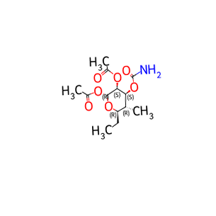 CC[C@H]1O[C@H](OC(C)=O)[C@@H](OC(C)=O)[C@@H](OC(N)=O)[C@@H]1C